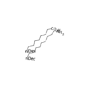 CCCCCCCCCCCCCCCCCC(=O)O.CCCCCCCCCCCCCCCCCCCN